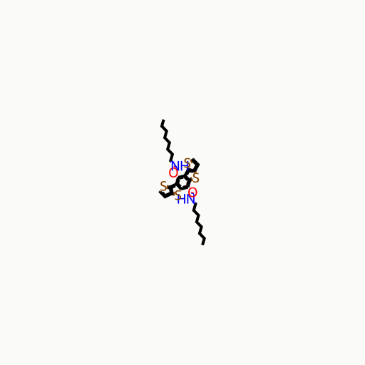 CCCCCCCCNOc1c2sc3ccsc3c2c(ONCCCCCCCC)c2c1sc1ccsc12